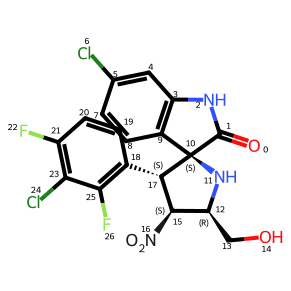 O=C1Nc2cc(Cl)ccc2[C@]12N[C@@H](CO)[C@@H]([N+](=O)[O-])[C@@H]2c1ccc(F)c(Cl)c1F